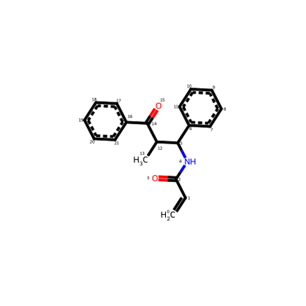 C=CC(=O)NC(c1ccccc1)C(C)C(=O)c1ccccc1